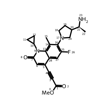 COC(=O)C#Cc1cc(=O)n(C2CC2)c2c(C)c(N3CCC([C@H](C)N)C3)c(F)cc12